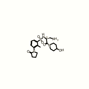 Cc1c(N2CCCC2=O)cccc1S(=O)(=O)N[C@@H](CN)C(=O)N1CCC(O)CC1